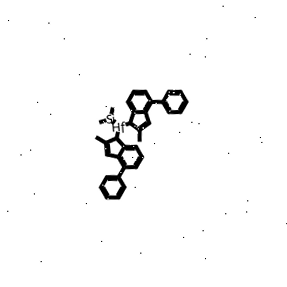 CC1=Cc2c(-c3ccccc3)cccc2[CH]1[Hf]([CH]1C(C)=Cc2c(-c3ccccc3)cccc21)=[Si](C)C